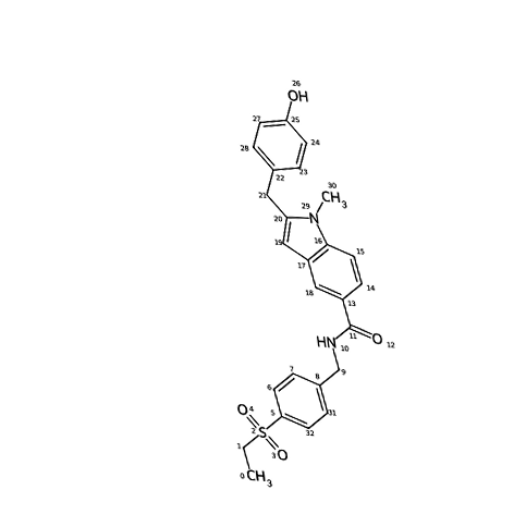 CCS(=O)(=O)c1ccc(CNC(=O)c2ccc3c(c2)cc(Cc2ccc(O)cc2)n3C)cc1